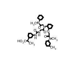 Cc1cccc(N(C)C(=O)COc2ccccc2N(CC(=O)N(C)c2ccccc2)C(=O)CNC(=O)Nc2cccc(C(C)C(=O)O)c2)c1